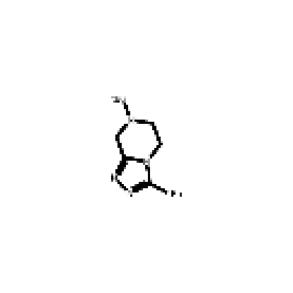 CC(C)(C)c1nnc2n1CCN(C(C)(C)C)C2